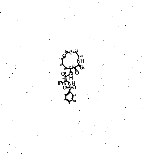 CC(C)C(NS(=O)(=O)c1ccccc1)C(=O)NC1CCCOCCCCNC(=O)C1=O